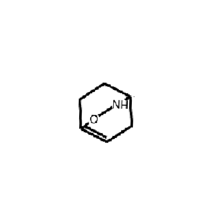 C1=C2CC[C](C1)NO2